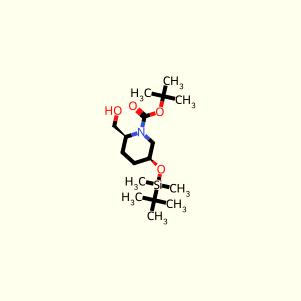 CC(C)(C)OC(=O)N1C[C@@H](O[Si](C)(C)C(C)(C)C)CC[C@H]1CO